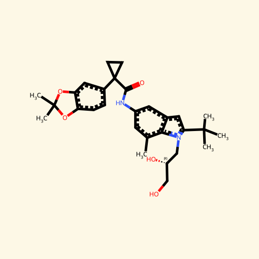 Cc1cc(NC(=O)C2(c3ccc4c(c3)OC(C)(C)O4)CC2)cc2cc(C(C)(C)C)n(C[C@@H](O)CO)c12